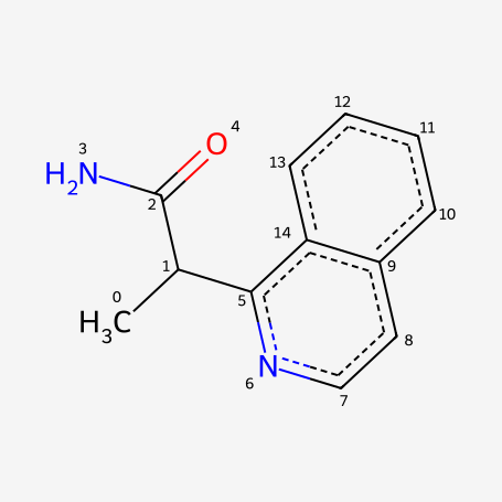 CC(C(N)=O)c1nccc2ccccc12